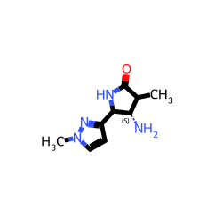 CC1C(=O)NC(c2ccn(C)n2)[C@H]1N